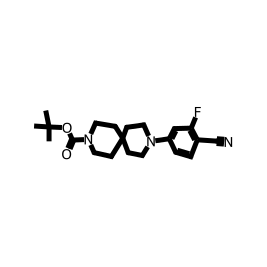 CC(C)(C)OC(=O)N1CCC2(CC1)CCN(c1ccc(C#N)c(F)c1)CC2